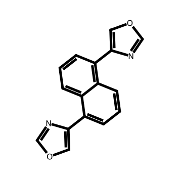 c1cc(-c2cocn2)c2cccc(-c3cocn3)c2c1